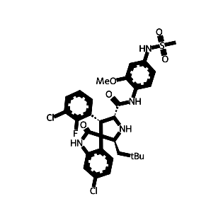 COc1cc(NS(C)(=O)=O)ccc1NC(=O)[C@@H]1N[C@@H](CC(C)(C)C)C2(C(=O)Nc3cc(Cl)ccc32)[C@@H]1c1cccc(Cl)c1F